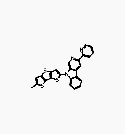 Cc1cc2sc3cc(-n4c5ccccc5c5cc(-c6ccccn6)ncc54)sc3c2s1